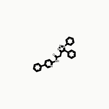 O=C(Cc1nnn(-c2ccccc2)c1-c1ccccc1)Nc1ccc(-c2ccccc2)cn1